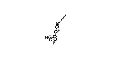 CCCCCCCCOc1ccc(-c2ccc(-c3cc(C(=O)O)c4cc(F)ccc4n3)cc2F)cc1